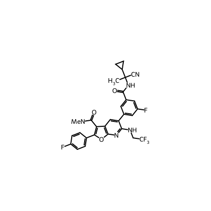 CNC(=O)c1c(-c2ccc(F)cc2)oc2nc(NCC(F)(F)F)c(-c3cc(F)cc(C(=O)NC(C)(C#N)C4CC4)c3)cc12